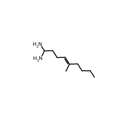 CCCC/C(C)=C/CCC(N)N